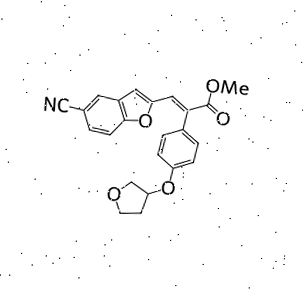 COC(=O)/C(=C/c1cc2cc(C#N)ccc2o1)c1ccc(OC2CCOC2)cc1